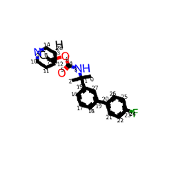 CC(C)(NC(=O)O[C@@H]1CN2CCC1CC2)c1cccc(-c2ccc(F)cc2)c1